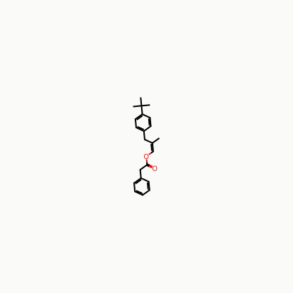 CC(=COC(=O)Cc1ccccc1)Cc1ccc(C(C)(C)C)cc1